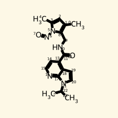 Cc1cc(C)n(N=O)c1CNC(=O)c1ccnc2c1ccn2C(C)C